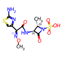 CO/N=C(\C(=O)N[C@@H]1C(=O)N(S(=O)(=O)O)[C@H]1C)c1csc(N)n1